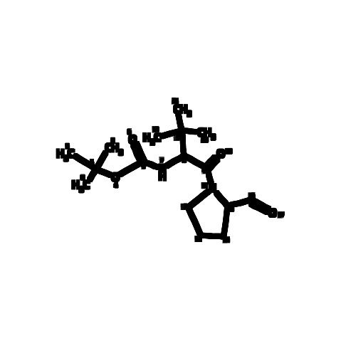 CC(C)(C)OC(=O)NC(C(=O)N1CCCC1C=O)C(C)(C)C